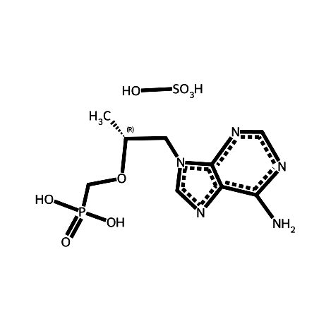 C[C@H](Cn1cnc2c(N)ncnc21)OCP(=O)(O)O.O=S(=O)(O)O